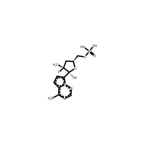 C[C@@]1(F)C[C@@H](COP(=O)(O)O)O[C@@]1(C#N)c1ccc2c(N)ncnn12